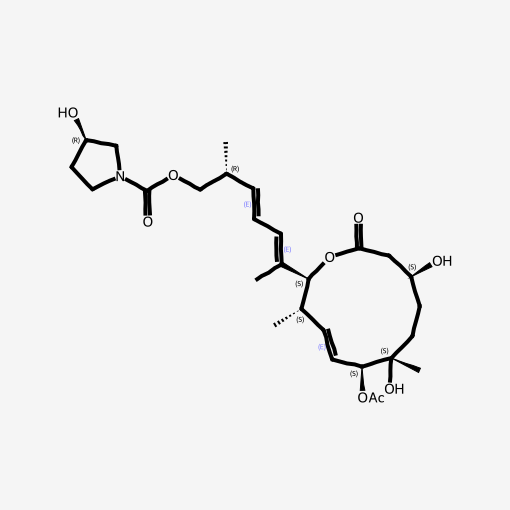 CC(=O)O[C@H]1/C=C/[C@H](C)[C@@H](/C(C)=C/C=C/[C@@H](C)COC(=O)N2CC[C@@H](O)C2)OC(=O)C[C@@H](O)CC[C@]1(C)O